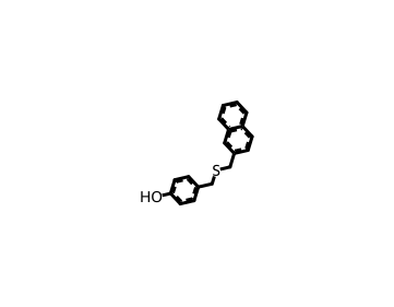 Oc1ccc(CSCc2ccc3ccccc3c2)cc1